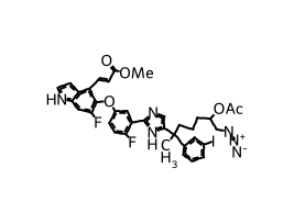 COC(=O)/C=C/c1c(Oc2ccc(F)c(-c3ncc(C(C)(CCCC(CN=[N+]=[N-])OC(C)=O)c4cccc(I)c4)[nH]3)c2)c(F)cc2[nH]ccc12